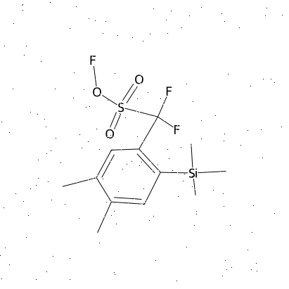 Cc1cc(C(F)(F)S(=O)(=O)OF)c([Si](C)(C)C)cc1C